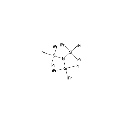 CC(C)[Si](C(C)C)(C(C)C)N([Si](C(C)C)(C(C)C)C(C)C)[Si](C(C)C)(C(C)C)C(C)C